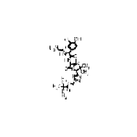 CC(C)(C)C(=O)OCn1nnc(C2N3C(=O)C(NC(=O)C(NC(=O)CN)c4ccc(O)c(Cl)c4)[C@H]3SC2(C)C)n1